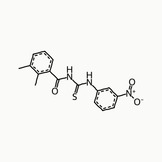 Cc1cccc(C(=O)NC(=S)Nc2cccc([N+](=O)[O-])c2)c1C